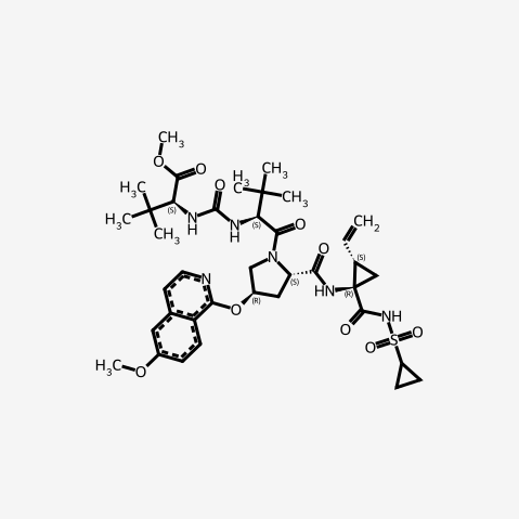 C=C[C@@H]1C[C@]1(NC(=O)[C@@H]1C[C@@H](Oc2nccc3cc(OC)ccc23)CN1C(=O)[C@@H](NC(=O)N[C@H](C(=O)OC)C(C)(C)C)C(C)(C)C)C(=O)NS(=O)(=O)C1CC1